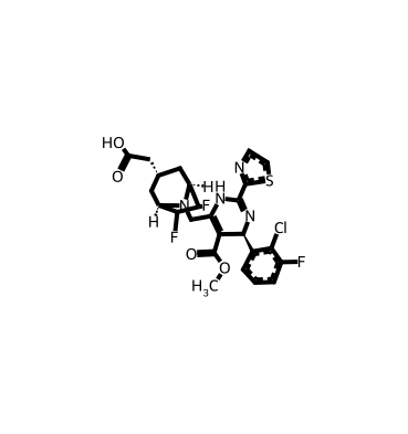 COC(=O)C1=C(CN2[C@@H]3C[C@H](CC(=O)O)C[C@H]2C(F)C3F)NC(c2nccs2)=N[C@H]1c1cccc(F)c1Cl